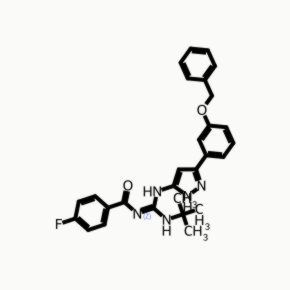 CC(C)(C)N/C(=N/C(=O)c1ccc(F)cc1)Nc1cc(-c2cccc(OCc3ccccc3)c2)n[nH]1